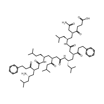 CC(C)CC[C@@H](CN(CC(=O)N[C@@H](CC(C)C)CN(CC(=O)N[C@@H](CC(C)C)CN(CC(N)=O)C(=O)CCC(=O)O)C(=O)CCc1ccccc1)C(=O)CC(C)C)NC(=O)CN(C[C@@H](N)CC(C)C)C(=O)CCc1ccccc1